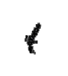 C=N/C(=C\C1=C(C)CN(S(=O)(=O)c2ccc(-c3ncco3)cc2)C1)C(O)c1cccc(N2CCN(C)CC2)c1